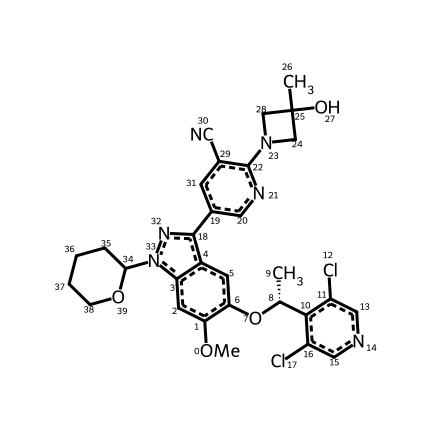 COc1cc2c(cc1O[C@H](C)c1c(Cl)cncc1Cl)c(-c1cnc(N3CC(C)(O)C3)c(C#N)c1)nn2C1CCCCO1